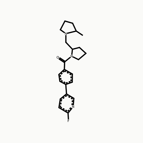 CC1CCCN1CC1CCCN1C(=O)c1ccc(-c2ccc(F)nc2)cc1